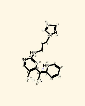 Cc1cnc(NCCCn2cncn2)nc1/C(C#N)=C1/C=CC=CN1